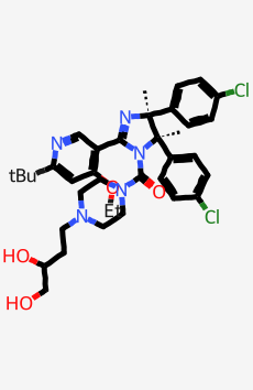 CCOc1cc(C(C)(C)C)ncc1C1=N[C@@](C)(c2ccc(Cl)cc2)[C@@](C)(c2ccc(Cl)cc2)N1C(=O)N1CCN(CCC(O)CO)CC1